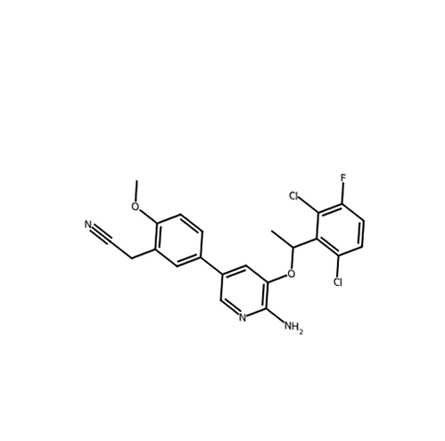 COc1ccc(-c2cnc(N)c(OC(C)c3c(Cl)ccc(F)c3Cl)c2)cc1CC#N